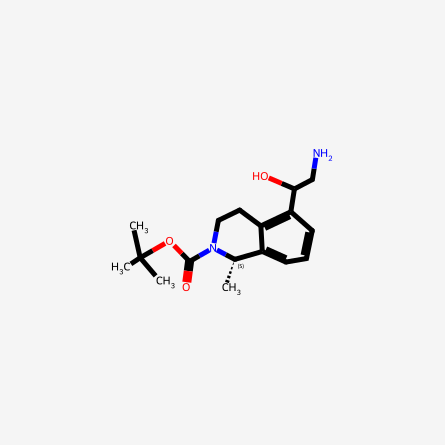 C[C@H]1c2cccc(C(O)CN)c2CCN1C(=O)OC(C)(C)C